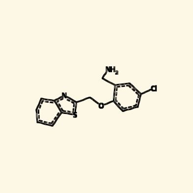 NCc1cc(Cl)ccc1OCc1nc2ccccc2s1